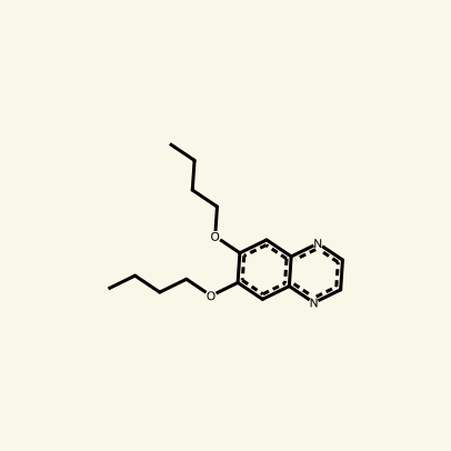 CCCCOc1cc2nccnc2cc1OCCCC